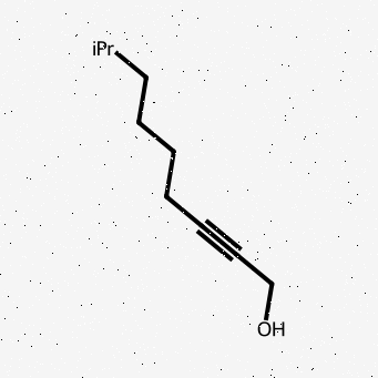 CC(C)CCCCC#CCO